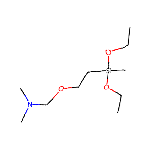 CCO[Si](C)(CCOCN(C)C)OCC